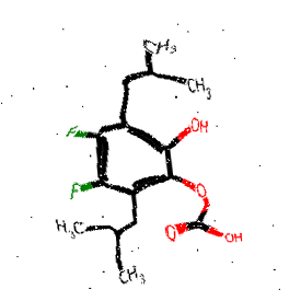 CC(C)Cc1c(O)c(OC(=O)O)c(CC(C)C)c(F)c1F